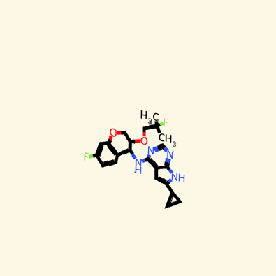 CC(C)(F)COC1COc2cc(F)ccc2C1Nc1ncnc2[nH]c(C3CC3)cc12